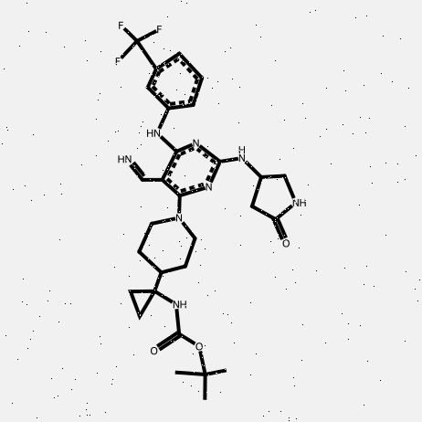 CC(C)(C)OC(=O)NC1(C2CCN(c3nc(NC4CNC(=O)C4)nc(Nc4cccc(C(F)(F)F)c4)c3C=N)CC2)CC1